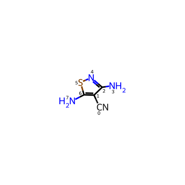 N#Cc1c(N)nsc1N